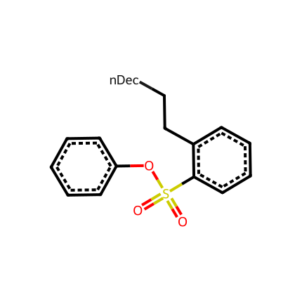 CCCCCCCCCCCCc1ccccc1S(=O)(=O)Oc1ccccc1